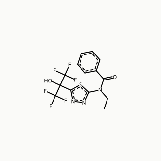 CCN(C(=O)c1ccccc1)c1nnc(C(O)(C(F)(F)F)C(F)(F)F)s1